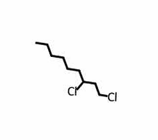 CCCCCCC(Cl)CCCl